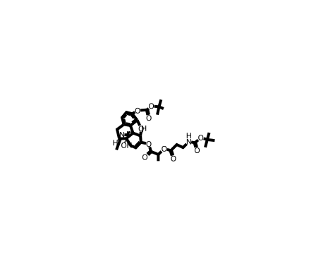 CC(OC(=O)CCNC(=O)OC(C)(C)C)C(=O)OC1=CC[C@@]2(O)[C@H]3Cc4ccc(OC(=O)OC(C)(C)C)c5c4[C@@]2(CCN3C)[C@H]1O5